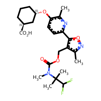 Cc1nc(-c2onc(C)c2COC(=O)N(C)C(C)(C)C(F)F)ccc1O[C@H]1CCC[C@H](C(=O)O)C1